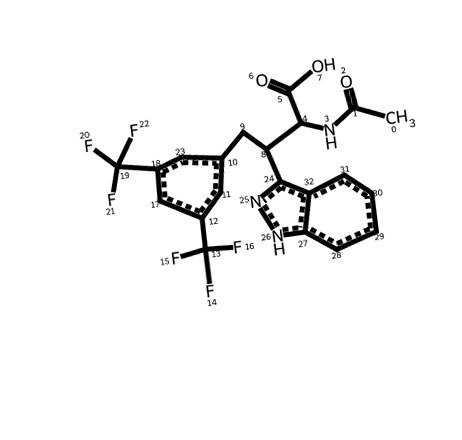 CC(=O)NC(C(=O)O)C(Cc1cc(C(F)(F)F)cc(C(F)(F)F)c1)c1n[nH]c2ccccc12